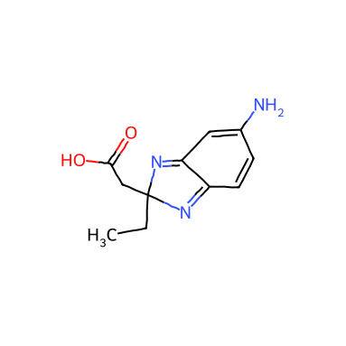 CCC1(CC(=O)O)N=c2ccc(N)cc2=N1